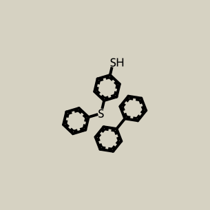 Sc1ccc(Sc2ccccc2)cc1.c1ccc(-c2ccccc2)cc1